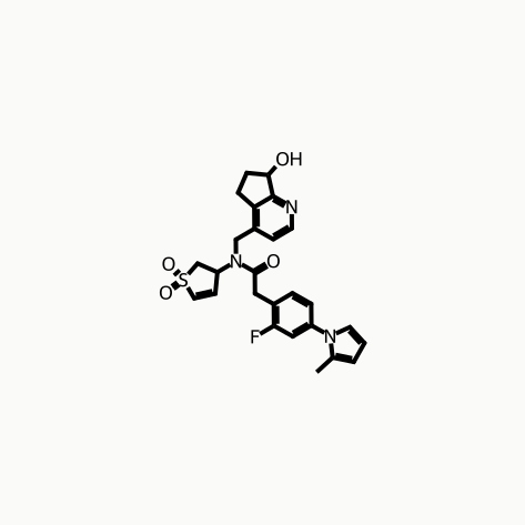 Cc1cccn1-c1ccc(CC(=O)N(Cc2ccnc3c2CCC3O)C2C=CS(=O)(=O)C2)c(F)c1